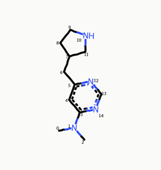 CN(C)c1cc(CC2CCNC2)ncn1